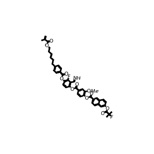 C=C(C)C(=O)OCCCCCCc1ccc(C(=O)Oc2ccc(OC(=O)c3ccc(OC(=O)c4ccc5cc(OC(=O)C(C)(C)F)ccc5c4)c(OC)c3)c(C=N)c2F)cc1